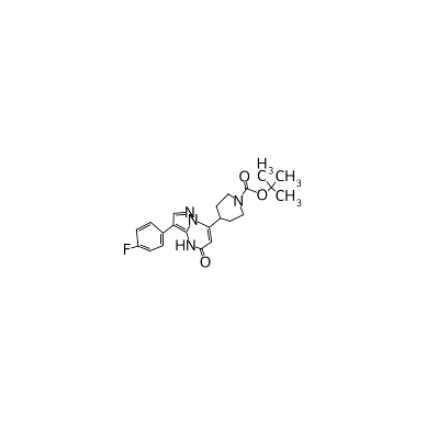 CC(C)(C)OC(=O)N1CCC(c2cc(=O)[nH]c3c(-c4ccc(F)cc4)cnn23)CC1